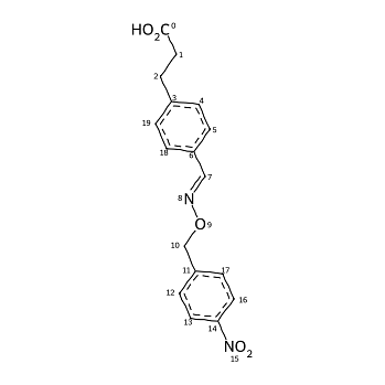 O=C(O)CCc1ccc(C=NOCc2ccc([N+](=O)[O-])cc2)cc1